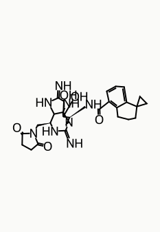 N=C1NC2[C@H](CN3C(=O)CCC3=O)NC(=N)N3C[C@H](NC(=O)c4cccc5c4CCCC54CC4)C(O)(O)C23N1